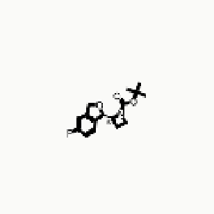 CC(C)(C)OC(=O)N1CC[C@H]1C1OCc2cc(F)ccc21